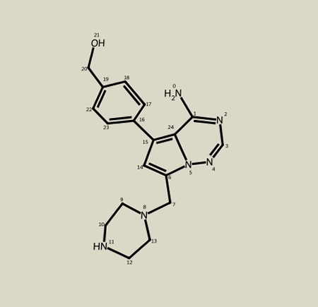 Nc1ncnn2c(CN3CCNCC3)cc(-c3ccc(CO)cc3)c12